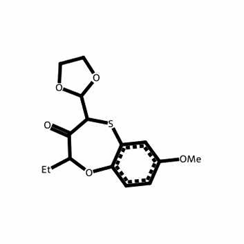 CCC1Oc2ccc(OC)cc2SC(C2OCCO2)C1=O